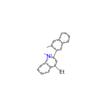 CCc1cc(-c2cc3ccccc3cc2C)[n+](C)c2ccccc12